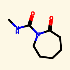 CNC(=O)N1CCCCCC1=O